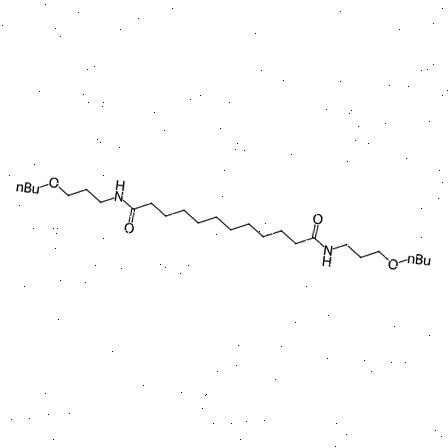 CCCCOCCCNC(=O)CCCCCCCCCCC(=O)NCCCOCCCC